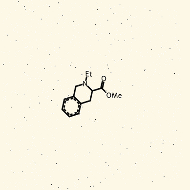 CCN1Cc2ccccc2CC1C(=O)OC